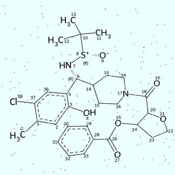 Cc1cc(O)c([C@H](N[S@@+]([O-])C(C)(C)C)C2CCN(C(=O)C3OCCC3OC(=O)c3ccccc3)CC2)cc1Cl